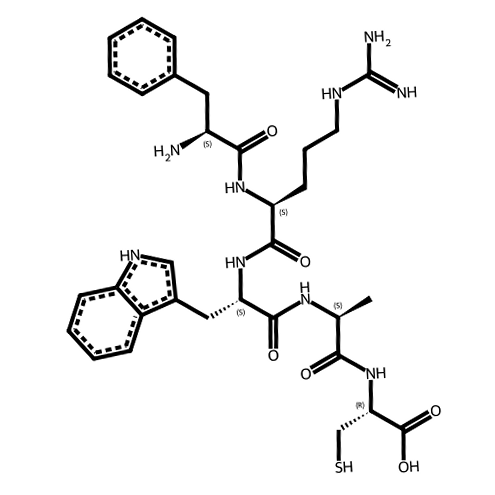 C[C@H](NC(=O)[C@H](Cc1c[nH]c2ccccc12)NC(=O)[C@H](CCCNC(=N)N)NC(=O)[C@@H](N)Cc1ccccc1)C(=O)N[C@@H](CS)C(=O)O